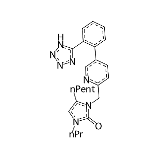 CCCCCc1cn(CCC)c(=O)n1Cc1ccc(-c2ccccc2-c2nnn[nH]2)cn1